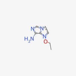 CCOn1ccn2cnc(N)c12